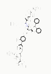 CC(C)(C)OC(=O)NCC(Cn1cc(-c2ccc(OC[C@H](O/N=C(\C(=O)O)c3csc(NC(=O)OC(C)(C)C)n3)C(=O)OC(c3ccccc3)c3ccccc3)cc2F)cn1)O[Si](C)(C)C(C)(C)C